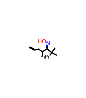 C=CCC(C)/C(=N\O)C(C)(C)C(C)C